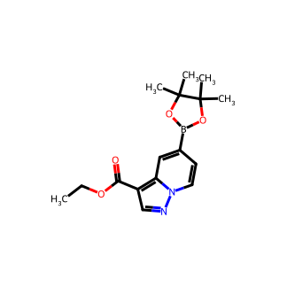 CCOC(=O)c1cnn2ccc(B3OC(C)(C)C(C)(C)O3)cc12